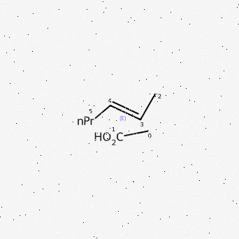 CC(=O)O.[CH2]/C=C/CCC